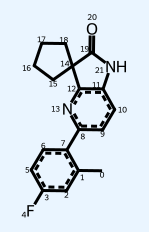 Cc1cc(F)ccc1-c1ccc2c(n1)C1(CCCC1)C(=O)N2